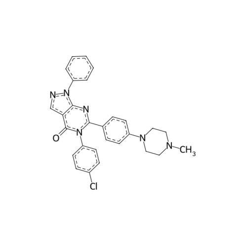 CN1CCN(c2ccc(-c3nc4c(cnn4-c4ccccc4)c(=O)n3-c3ccc(Cl)cc3)cc2)CC1